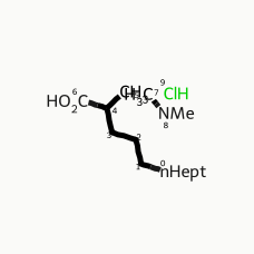 CCCCCCCCCCC(C)C(=O)O.CNC.Cl